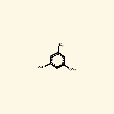 COc1[c]c(OC)cc([N+](=O)[O-])c1